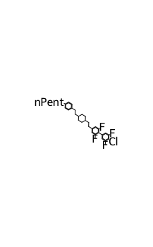 CCCCCc1ccc(CCC2CCC(CCc3cc(F)c(-c4cc(F)c(Cl)c(F)c4)c(F)c3)CC2)cc1